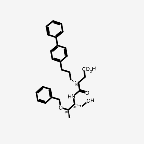 C[C@@H](OCc1ccccc1)[C@@H](CO)NC(=O)[C@H](CCCc1ccc(-c2ccccc2)cc1)CC(=O)O